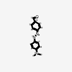 CN(C)c1ccc(N=Nc2ccc([C]=O)cc2)cc1